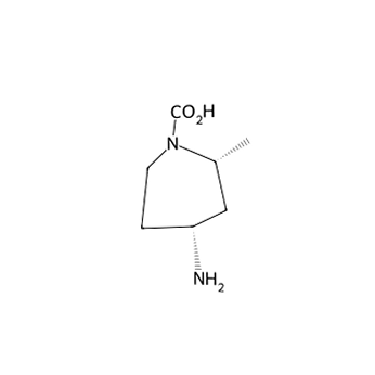 C[C@@H]1C[C@H](N)CCN1C(=O)O